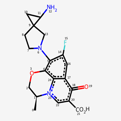 C[C@H]1COc2c(N3CCC4(CC4N)C3)c(F)cc3c(=O)c(C(=O)O)cn1c23